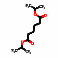 O=C(CCCCC(=O)OC(C(F)(F)F)C(F)(F)F)OC(C(F)(F)F)C(F)(F)F